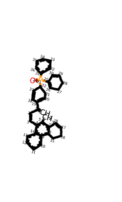 C=C(/C=C\c1c(C)c2c(c3ccccc13)CCC=C2)C1=CCC(P(=O)(C2=CCCC=C2)c2ccccc2)C=C1